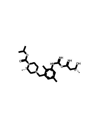 Cc1cc(CN2CCN(C(=O)OC(C)C)[C@@H](C)C2)c(C)c(NC(=N)OC(=N)C[C@@H](C)O)c1